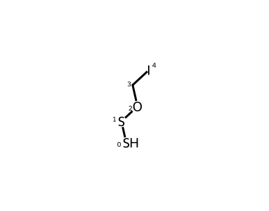 SSOCI